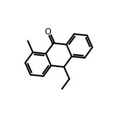 CCC1c2ccccc2C(=O)c2c(C)cccc21